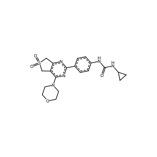 O=C(Nc1ccc(-c2nc3c(c(N4CCOCC4)n2)CS(=O)(=O)C3)cc1)NC1CC1